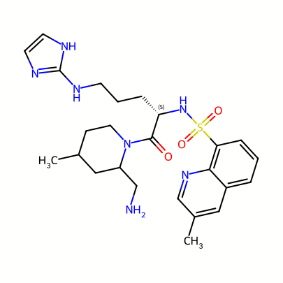 Cc1cnc2c(S(=O)(=O)N[C@@H](CCCNc3ncc[nH]3)C(=O)N3CCC(C)CC3CN)cccc2c1